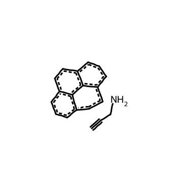 C#CCN.c1cc2ccc3cccc4ccc(c1)c2c34